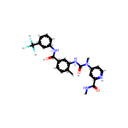 CNC(=O)c1cc(N(C)C(=O)Nc2cc(C(=O)Nc3cccc(C(F)(F)F)c3)ccc2C)ccn1